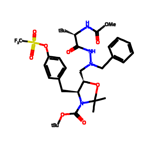 COC(=O)N[C@H](C(=O)NN(Cc1ccccc1)C[C@@H]1OC(C)(C)N(C(=O)OC(C)(C)C)[C@H]1Cc1ccc(OS(=O)(=O)C(F)(F)F)cc1)C(C)(C)C